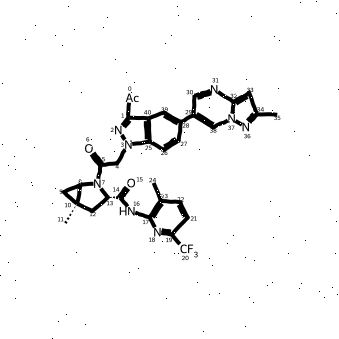 CC(=O)c1nn(CC(=O)N2C3C[C@]3(C)C[C@H]2C(=O)Nc2nc(C(F)(F)F)ccc2C)c2ccc(-c3cnc4cc(C)nn4c3)cc12